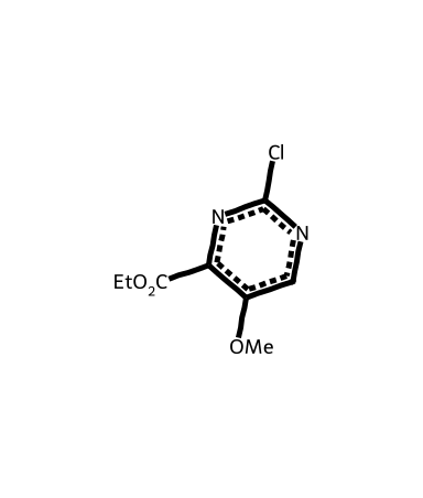 CCOC(=O)c1nc(Cl)ncc1OC